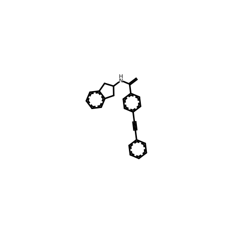 C=C(NC1Cc2ccccc2C1)c1ccc(C#Cc2ccccc2)cc1